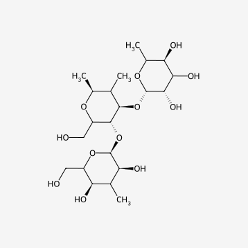 CC1O[C@@H](O[C@@H]2C(C)[C@H](C)OC(CO)[C@H]2O[C@@H]2OC(CO)[C@H](O)C(C)[C@@H]2O)[C@@H](O)C(O)[C@@H]1O